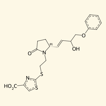 O=C(O)c1csc(SCCN2C(=O)CC[C@@H]2C=CC(O)COc2ccccc2)n1